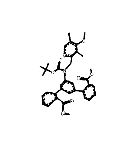 COC(=O)c1ccccc1-c1cc(-c2ccccc2C(=O)OC)cc(N(Cc2ncc(C)c(OC)c2C)C(=O)OC(C)(C)C)c1